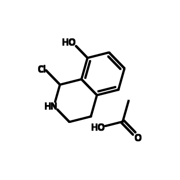 CC(=O)O.Oc1cccc2c1C(Cl)NCC2